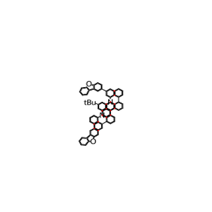 CC(C)(C)c1cc(N(c2cccc(-c3ccc4oc5ccccc5c4c3)c2)c2c(-c3ccccc3)cccc2-c2ccccc2)cc(N(c2cccc(-c3ccc4oc5ccccc5c4c3)c2)c2c(-c3ccccc3)cccc2-c2ccccc2)c1